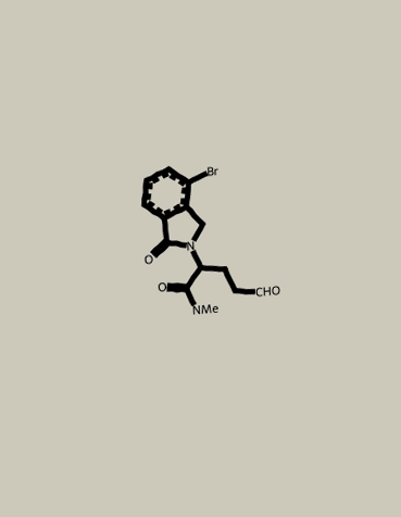 CNC(=O)C(CCC=O)N1Cc2c(Br)cccc2C1=O